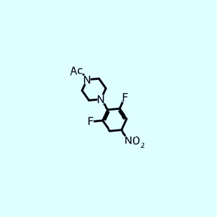 CC(=O)N1CCN(C2=C(F)CC([N+](=O)[O-])C=C2F)CC1